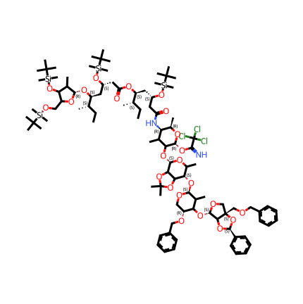 CC[C@H](C)[C@H](C[C@@H](CC(=O)N[C@@H]1C(C)C(O[C@@H]2OC(C)[C@H](O[C@@H]3OC[C@@H](OCc4ccccc4)C(O[C@@H]4OC[C@]5(COCc6ccccc6)O[C@@H](c6ccccc6)OC45)C3C)C3OC(C)(C)OC32)[C@@H](OC(=N)C(Cl)(Cl)Cl)O[C@@H]1C)O[Si](C)(C)C(C)(C)C)OC(=O)C[C@H](C[C@H](O[C@@H]1OC(CO[Si](C)(C)C(C)(C)C)C(O[Si](C)(C)C(C)(C)C)C1C)[C@@H](C)CC)O[Si](C)(C)C(C)(C)C